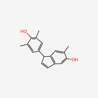 Cc1cc2c(cc1O)C=CC2c1cc(C)c(O)c(C)c1